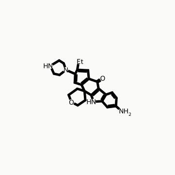 CCc1cc2c(cc1N1CCNCC1)C1(CCOCC1)c1[nH]c3cc(N)ccc3c1C2=O